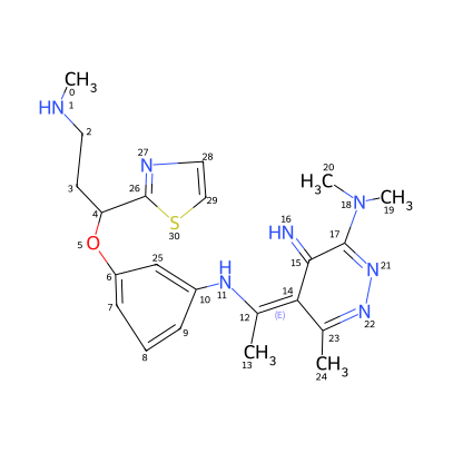 CNCCC(Oc1cccc(N/C(C)=C2\C(=N)C(N(C)C)=NN=C2C)c1)c1nccs1